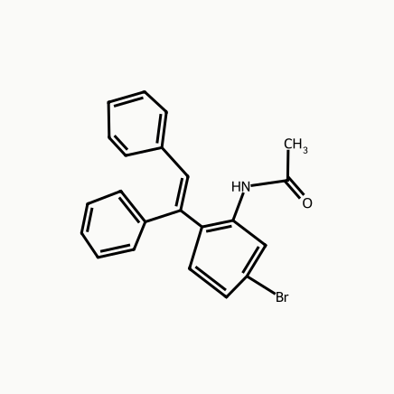 CC(=O)Nc1cc(Br)ccc1/C(=C/c1ccccc1)c1ccccc1